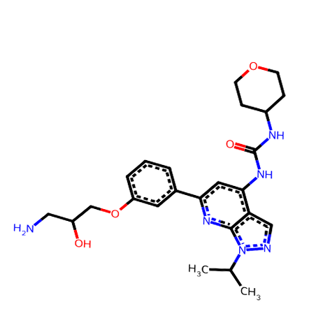 CC(C)n1ncc2c(NC(=O)NC3CCOCC3)cc(-c3cccc(OCC(O)CN)c3)nc21